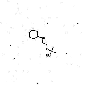 CC(C)(C)[Si](C)(C)OCCNC1CCCOC1